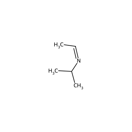 C/C=N\C(C)C